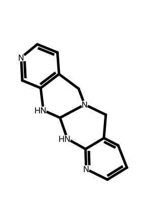 c1cnc2c(c1)CN1Cc3ccncc3NC1N2